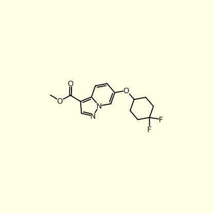 COC(=O)c1cnn2cc(OC3CCC(F)(F)CC3)ccc12